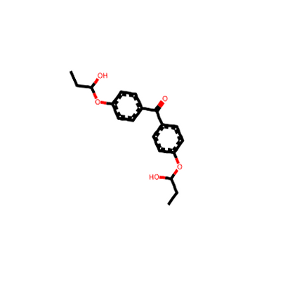 CCC(O)Oc1ccc(C(=O)c2ccc(OC(O)CC)cc2)cc1